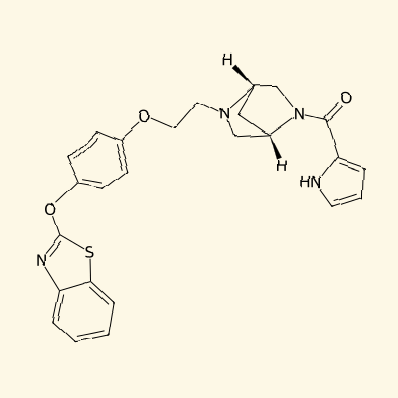 O=C(c1ccc[nH]1)N1C[C@@H]2C[C@H]1CN2CCOc1ccc(Oc2nc3ccccc3s2)cc1